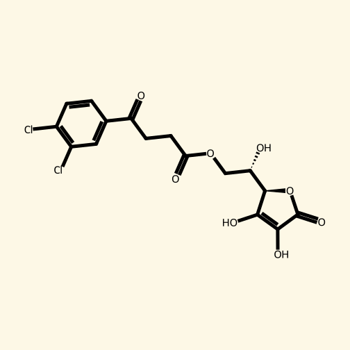 O=C(CCC(=O)c1ccc(Cl)c(Cl)c1)OC[C@H](O)[C@H]1OC(=O)C(O)=C1O